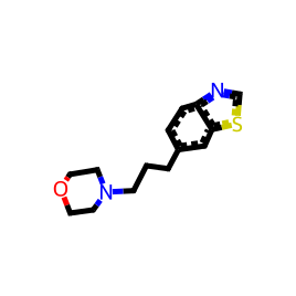 c1nc2ccc(CCCN3CCOCC3)cc2s1